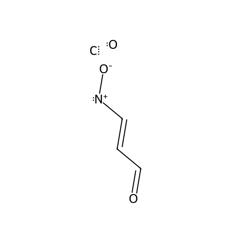 O=CC=C[N+][O-].[C].[O]